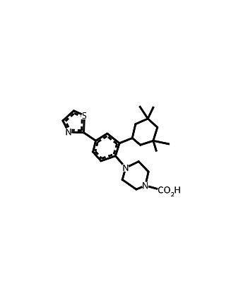 CC1(C)CC(c2cc(-c3nccs3)ccc2N2CCN(C(=O)O)CC2)CC(C)(C)C1